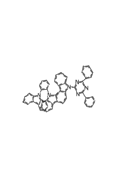 c1ccc(-c2nc(-c3ccccc3)nc(-n3c4ccccc4c4c3ccc3c5ccccc5n(-c5ccccc5-n5c6ccccc6c6ccccc65)c34)n2)cc1